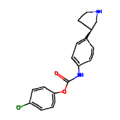 O=C(Nc1ccc([C@H]2CCNC2)cc1)Oc1ccc(Cl)cc1